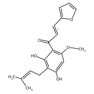 COc1cc(O)c(CC=C(C)C)c(O)c1C(=O)/C=C/c1ccco1